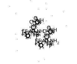 NC(c1nn(Cc2ccccc2C(F)(F)F)c2c1CN(c1cn[nH]c(=O)c1Cl)CC2)C(F)(F)F.NC(c1nn(Cc2ccccc2C(F)(F)F)c2c1CN(c1cn[nH]c(=O)c1Cl)CC2)C(F)(F)F